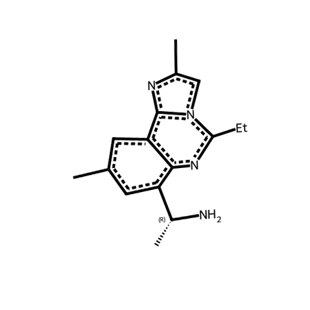 CCc1nc2c([C@@H](C)N)cc(C)cc2c2nc(C)cn12